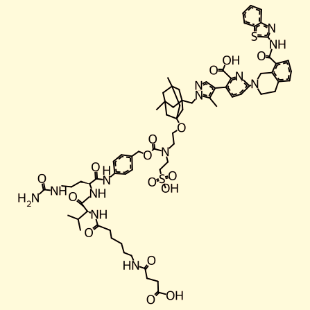 Cc1c(-c2ccc(N3CCc4cccc(C(=O)Nc5nc6ccccc6s5)c4C3)nc2C(=O)O)cnn1CC12CC3(C)CC(C)(C1)CC(OCCN(CCS(=O)(=O)O)C(=O)OCc1ccc(NC(=O)[C@H](CCCNC(N)=O)NC(=O)[C@@H](NC(=O)CCCCCNC(=O)CCC(=O)O)C(C)C)cc1)(C3)C2